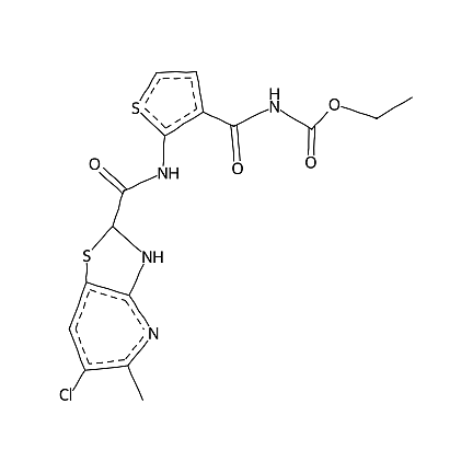 CCOC(=O)NC(=O)c1ccsc1NC(=O)C1Nc2nc(C)c(Cl)cc2S1